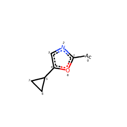 CC(=O)c1ncc(C2CC2)o1